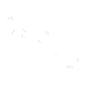 Cc1nc2ccc(Oc3ccc4ncc(-c5cnn([C@H]6CCNC[C@@H]6F)c5)nc4c3C)cc2[nH]1